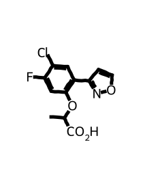 CC(Oc1cc(F)c(Cl)cc1-c1ccon1)C(=O)O